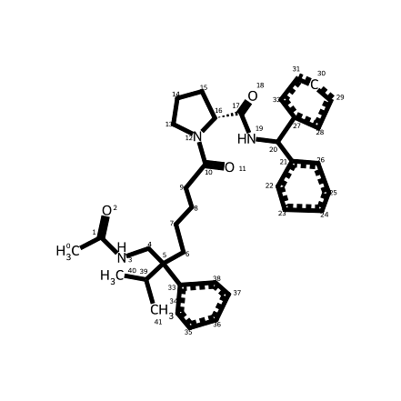 CC(=O)NCC(CCCCC(=O)N1CCC[C@@H]1C(=O)NC(c1ccccc1)c1ccccc1)(c1ccccc1)C(C)C